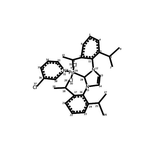 CC(C)c1cccc(C(C)C)c1N1C=CN(c2c(C(C)C)cccc2C(C)C)[CH]1[Pd]([Cl])([Cl])[n+]1cccc(Cl)c1